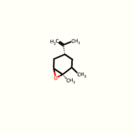 C=C(C)[C@@H]1CC(C)[C@@]2(C)OC2C1